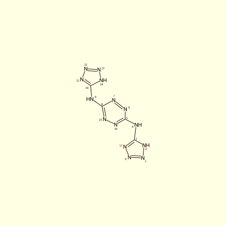 n1n[nH]c(Nc2nnc(Nc3nnn[nH]3)nn2)n1